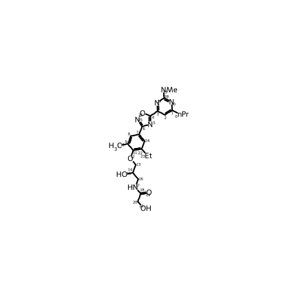 CCCc1cc(-c2nc(-c3cc(C)c(OCC(O)CNC(=O)CO)c(CC)c3)no2)nc(NC)n1